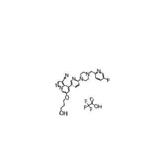 N#Cc1cnn2cc(OCCCO)cc(-c3ccc(N4CCN(Cc5ccc(F)cn5)CC4)nc3)c12.O=C(O)C(F)(F)F